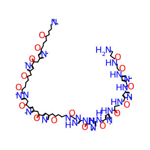 CN(C)CCCCC(=O)CCCC(=O)c1cc(CC(=O)c2cc(CC(=O)CCCC(=O)c3nc(CC(=O)c4cc(CC(=O)c5cc(CC(=O)CCCNC(=O)c6nc(NC(=O)c7nc(NC(=O)c8cc(NC(=O)CCNC(=O)c9cc(NC(=O)c%10cc(NC(=O)CCNC(=O)CCN)cn%10C)cn9C)cn8C)cn7C)cn6C)cn5C)cn4C)cn3C)cn2C)cn1C